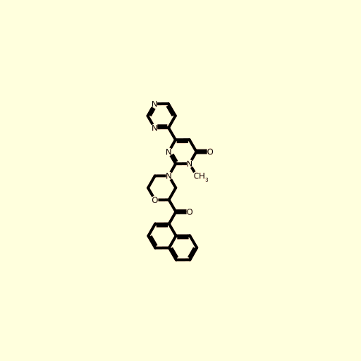 Cn1c(N2CCOC(C(=O)c3cccc4ccccc34)C2)nc(-c2ccncn2)cc1=O